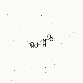 CCOC(=O)CCNC[C@H]1CC[C@H](Oc2ccc(CC)cn2)CC1